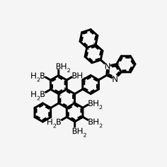 Bc1c(B)c(B)c2c(-c3ccc(-c4nc5ccccc5n4-c4ccc5ccccc5c4)cc3)c3c(B)c(B)c(B)c(B)c3c(-c3ccccc3)c2c1B